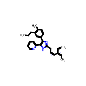 C=CC(/C=C\Cc1nc(-c2ccc(C)c(CCC)c2)c(-c2ccccn2)[nH]1)=C/C